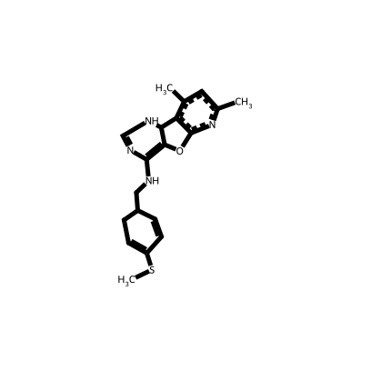 CSC1=CCC(CNC2=C3Oc4nc(C)cc(C)c4C3NC=N2)C=C1